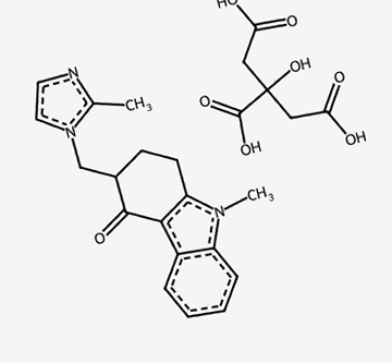 Cc1nccn1CC1CCc2c(c3ccccc3n2C)C1=O.O=C(O)CC(O)(CC(=O)O)C(=O)O